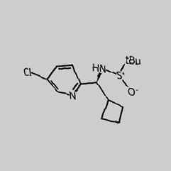 CC(C)(C)[S+]([O-])N[C@H](c1ccc(Cl)cn1)C1CCC1